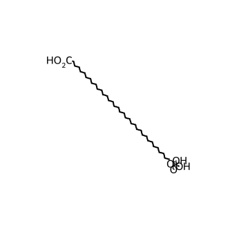 O=C(O)CCCCCCCCCCCCCCCCCCCCCCCCCCCCCCCCCCCOP(=O)(O)O